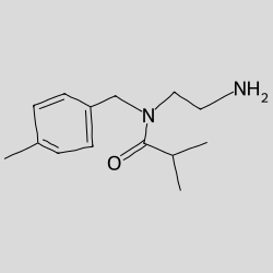 Cc1ccc(CN(CCN)C(=O)C(C)C)cc1